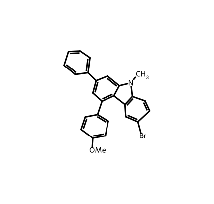 COc1ccc(-c2cc(-c3ccccc3)cc3c2c2cc(Br)ccc2n3C)cc1